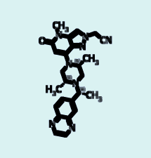 C[C@@H]1CN(c2cc(=O)n(C)c3cn(CC#N)nc23)[C@@H](C)CN1[C@H](C)c1ccc2nccnc2c1